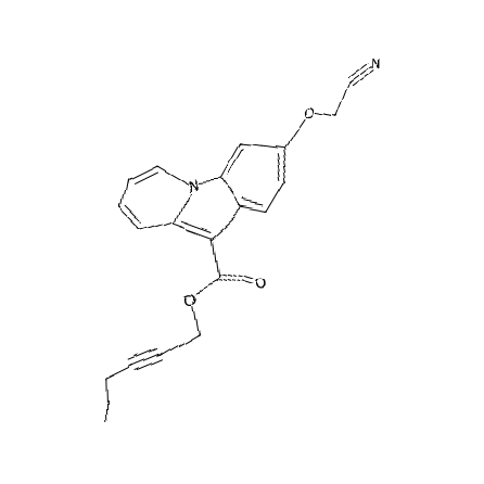 CCC#CCOC(=O)c1c2ccc(OCC#N)cc2n2ccccc12